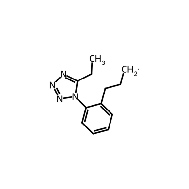 [CH2]CCc1ccccc1-n1nnnc1CC